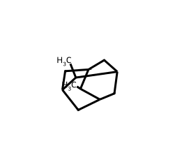 CC1[C]2CC3CC1CC(C2)C3C